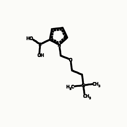 C[Si](C)(C)CCOCn1cccc1B(O)O